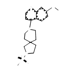 COc1ccc2c(N3CCC4(CC3)CCN([S@](C)(=N)=O)C4)ccnc2c1